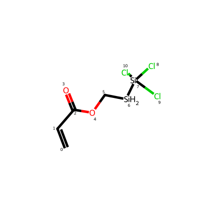 C=CC(=O)OC[SiH2][Si](Cl)(Cl)Cl